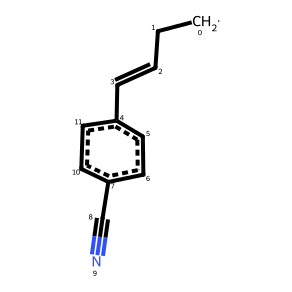 [CH2]CC=Cc1ccc(C#N)cc1